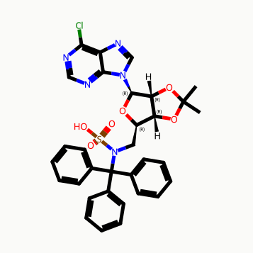 CC1(C)O[C@@H]2[C@H](O1)[C@@H](CN(C(c1ccccc1)(c1ccccc1)c1ccccc1)S(=O)(=O)O)O[C@H]2n1cnc2c(Cl)ncnc21